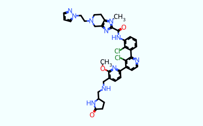 COc1nc(-c2ccnc(-c3cccc(NC(=O)c4nc5c(n4C)CCN(CCn4cccn4)C5)c3Cl)c2Cl)ccc1CNCC1CCC(=O)N1